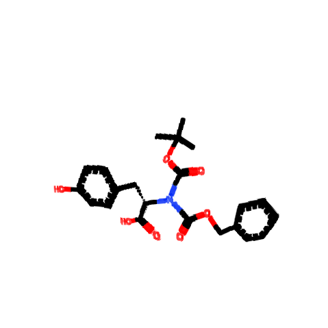 CC(C)(C)OC(=O)N(C(=O)OCc1ccccc1)[C@@H](Cc1ccc(O)cc1)C(=O)O